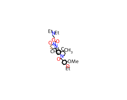 CCOc1ccc(C(=O)N2CCC(C)(C)c3cc(C4=NN(C(=O)OCCN(CC)CC)C(=O)SC4C)ccc32)cc1OC